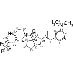 CN(C)c1cccc(CNC2CC3CCCC3(C(=O)N3CCc4ncc(C(F)(F)F)cc4C3)C2)c1